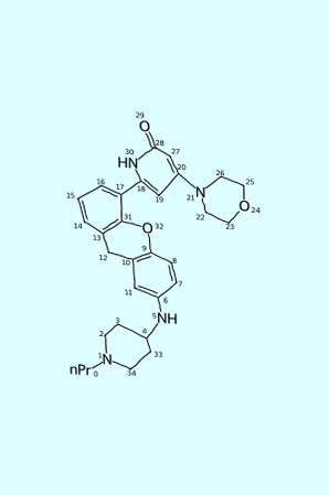 CCCN1CCC(Nc2ccc3c(c2)Cc2cccc(-c4cc(N5CCOCC5)cc(=O)[nH]4)c2O3)CC1